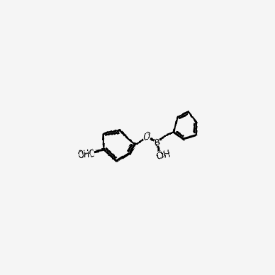 O=Cc1ccc(OB(O)c2ccccc2)cc1